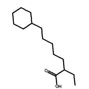 CCC(CCCCCC1CCCCC1)C(=O)O